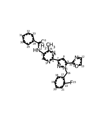 C=C(Nc1cnc(-c2cc(-c3ncco3)n(Cc3ccccc3F)n2)nc1C)c1ccccc1